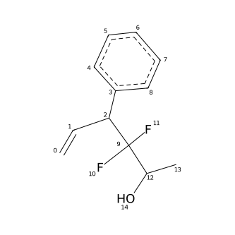 C=CC(c1ccccc1)C(F)(F)C(C)O